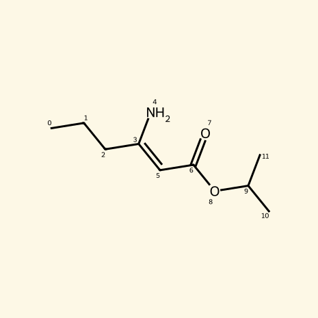 CCCC(N)=CC(=O)OC(C)C